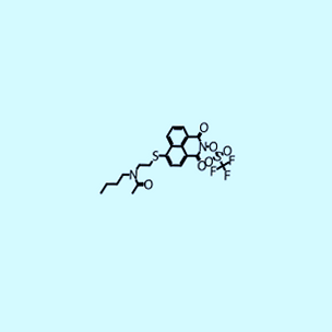 CCCCN(CCSc1ccc2c3c(cccc13)C(=O)N(OS(=O)(=O)C(F)(F)F)C2=O)C(C)=O